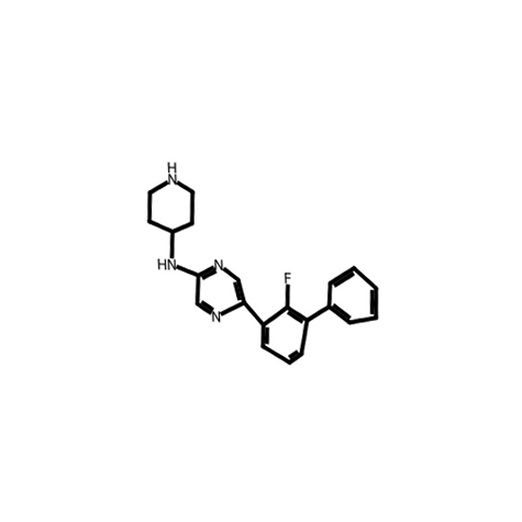 Fc1c(-c2ccccc2)cccc1-c1cnc(NC2CCNCC2)cn1